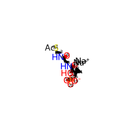 CC(=O)SCCNC(=O)CCNC(=O)C(O)C1(COP(=O)([O-])[O-])CC1.[Na+].[Na+]